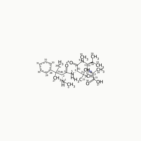 CN[C@@H](C(=O)N[C@H](C(=O)N(C)[C@H](/C=C(\C)C(=O)O)C(C)C)C(C)(C)C)C(C)(C)c1ccccc1